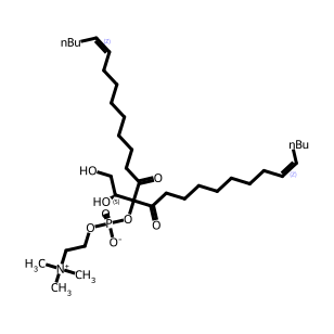 CCCC/C=C\CCCCCCCC(=O)C(OP(=O)([O-])OCC[N+](C)(C)C)(C(=O)CCCCCCC/C=C\CCCC)[C@@H](O)CO